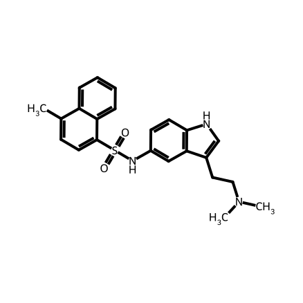 Cc1ccc(S(=O)(=O)Nc2ccc3[nH]cc(CCN(C)C)c3c2)c2ccccc12